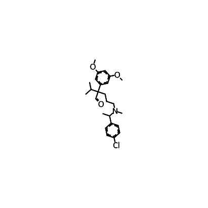 COc1cc(OC)cc(C(C=O)(CCCN(C)C(C)c2ccc(Cl)cc2)C(C)C)c1